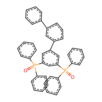 O=P(c1ccccc1)(c1ccccc1)c1cc(-c2cccc(-c3ccccc3)c2)cc(P(=O)(c2ccccc2)c2ccccc2)c1